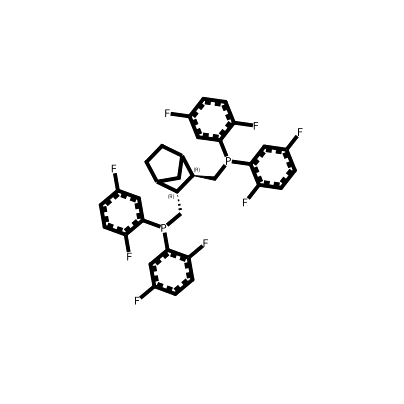 Fc1ccc(F)c(P(C[C@@H]2C3CCC(C3)[C@H]2CP(c2cc(F)ccc2F)c2cc(F)ccc2F)c2cc(F)ccc2F)c1